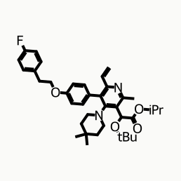 C=Cc1nc(C)c(C(OC(C)(C)C)C(=O)OC(C)C)c(N2CCC(C)(C)CC2)c1-c1ccc(OCCc2ccc(F)cc2)cc1